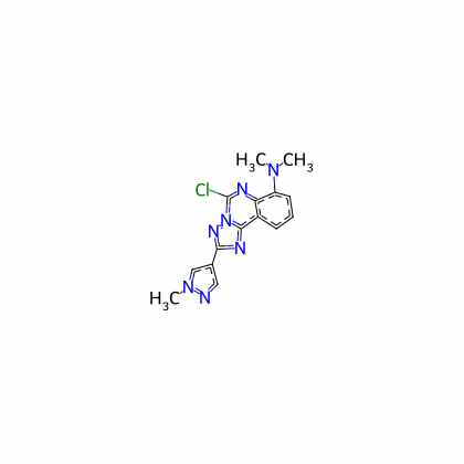 CN(C)c1cccc2c1nc(Cl)n1nc(-c3cnn(C)c3)nc21